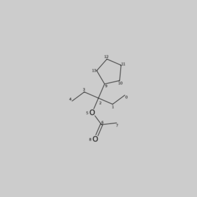 CCC(CC)(OC(C)=O)C1CCCC1